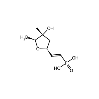 B[C@@H]1O[C@H](/C=C/P(=O)(O)O)C[C@@]1(C)O